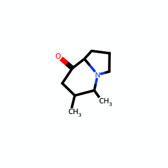 CC1CC(=O)C2CCCN2C1C